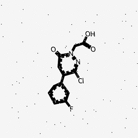 O=C(O)Cn1nc(Cl)c(-c2cccc(F)c2)cc1=O